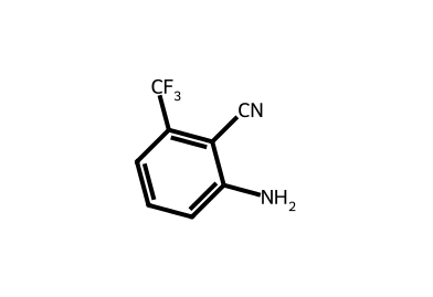 N#Cc1c(N)cccc1C(F)(F)F